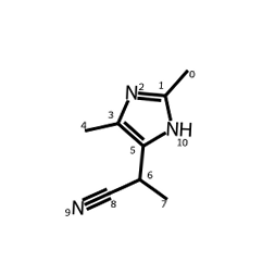 Cc1nc(C)c(C(C)C#N)[nH]1